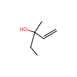 [CH2]CC(C)(O)C=C